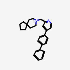 c1ccc(-c2ccc(-c3ccnc(CN4CCC5(CCCC5)CC4)c3)cc2)cc1